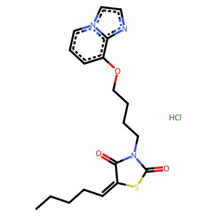 CCCCC=C1SC(=O)N(CCCCOc2cccn3ccnc23)C1=O.Cl